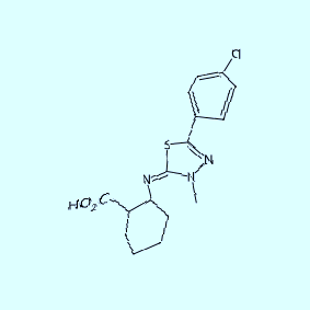 Cn1nc(-c2ccc(Cl)cc2)s/c1=N/C1CCCCC1C(=O)O